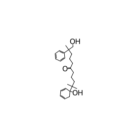 CC(CO)(CCCC(=O)CCCC(C)(C)C1(O)C=CC=CC1)c1ccccc1